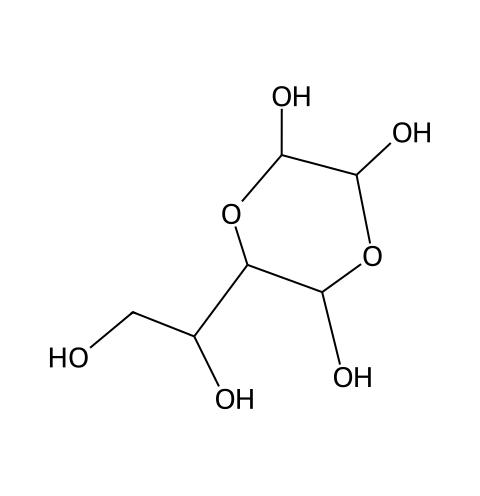 OCC(O)C1OC(O)C(O)OC1O